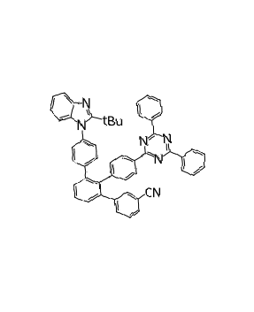 CC(C)(C)c1nc2ccccc2n1-c1ccc(-c2cccc(-c3cccc(C#N)c3)c2-c2ccc(-c3nc(-c4ccccc4)nc(-c4ccccc4)n3)cc2)cc1